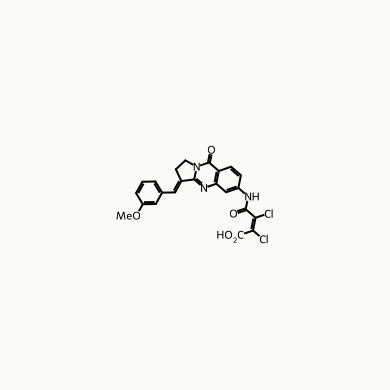 COc1cccc(C=C2CCn3c2nc2cc(NC(=O)/C(Cl)=C(/Cl)C(=O)O)ccc2c3=O)c1